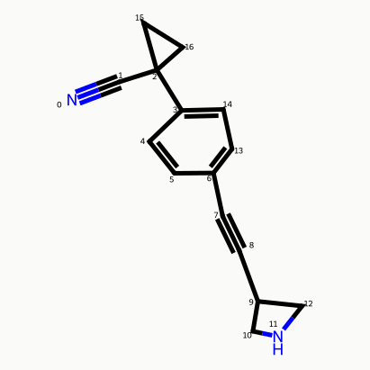 N#CC1(c2ccc(C#CC3CNC3)cc2)CC1